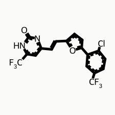 O=c1nc(/C=C/c2ccc(-c3cc(C(F)(F)F)ccc3Cl)o2)cc(C(F)(F)F)[nH]1